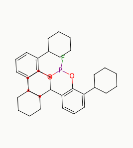 FP(Oc1c(C2CCCCC2)cccc1C1CCCCC1)Oc1c(C2CCCCC2)cccc1C1CCCCC1